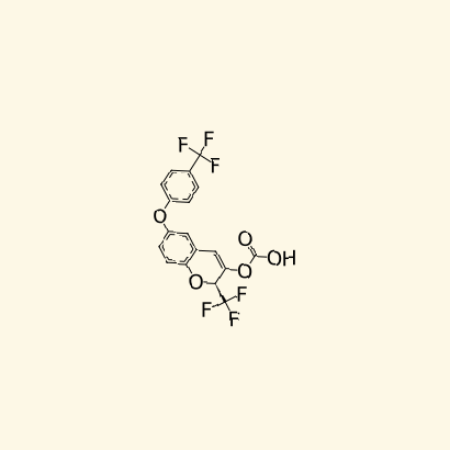 O=C(O)OC1=Cc2cc(Oc3ccc(C(F)(F)F)cc3)ccc2O[C@@H]1C(F)(F)F